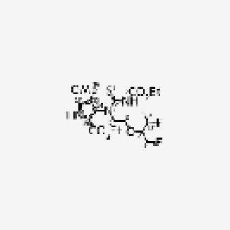 CCOC(=O)NC(=S)N(CCOC(CF)C(F)F)c1c(OC)c[nH]c1C(=O)OCC